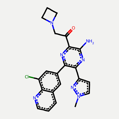 Cn1ccc(-c2nc(N)c(C(=O)CN3CCC3)nc2-c2cc(Cl)c3ncccc3c2)n1